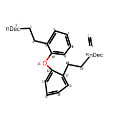 C=C.CCCCCCCCCCCCc1ccccc1Oc1ccccc1CCCCCCCCCCCC